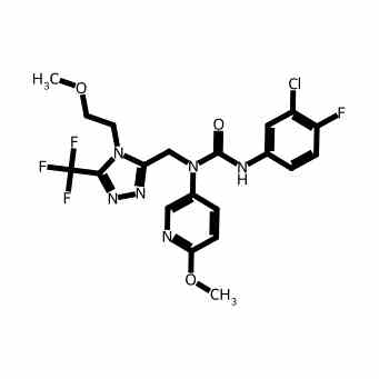 COCCn1c(CN(C(=O)Nc2ccc(F)c(Cl)c2)c2ccc(OC)nc2)nnc1C(F)(F)F